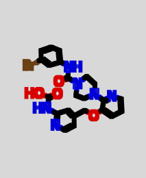 O=C(O)Nc1cc(COc2cccnc2N2CCN(C(=O)Nc3cccc(Br)c3)CC2)ccn1